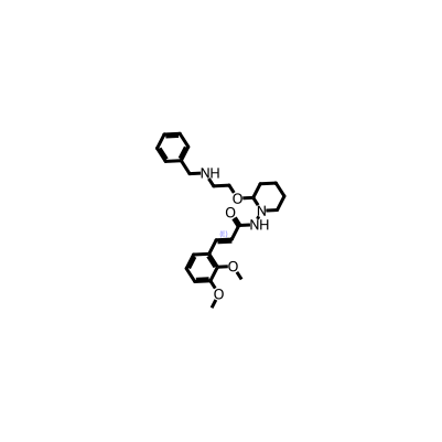 COc1cccc(/C=C/C(=O)NN2CCCCC2OCCNCc2ccccc2)c1OC